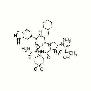 CC(C)(O)c1cnnn1C1CC(C(=O)NC2(C(=O)C(N)=O)CCS(=O)(=O)CC2)N(C(=O)[C@@H](CC2CCCCC2)NC(=O)c2ccc3cn[nH]c3c2)C1